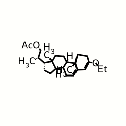 CCOC1=CC2=CCC3[C@H](CCC4(C)[C@@H]([C@H](C)COC(C)=O)CC[C@@H]34)C2(C)CC1